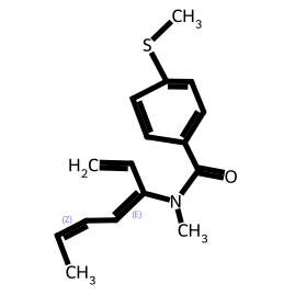 C=C/C(=C\C=C/C)N(C)C(=O)c1ccc(SC)cc1